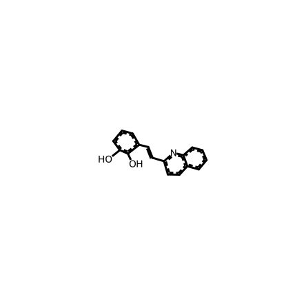 Oc1cccc(C=Cc2ccc3ccccc3n2)c1O